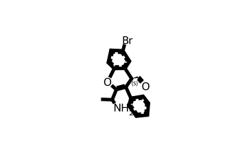 CC(N)C1=C(c2ccccc2)[C@@H](C=O)c2cc(Br)ccc2O1